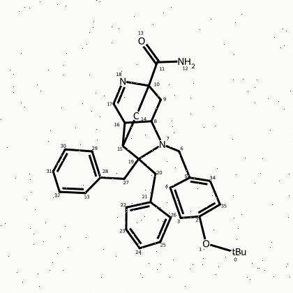 CC(C)(C)Oc1ccc(CN2C3CC4(C(N)=O)CC(C3C=N4)C2(Cc2ccccc2)Cc2ccccc2)cc1